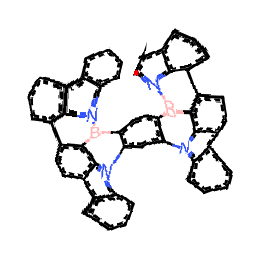 c1ccc2c(c1)c1cccc3c1n2B1c2cc4c(cc2-n2c5ccccc5c5ccc-3c1c52)-n1c2ccccc2c2ccc3c(c21)B4n1c2ccccc2c2cccc-3c21